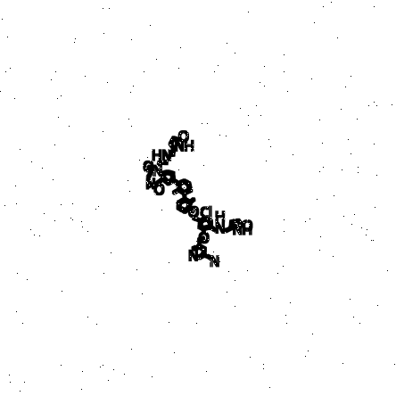 Cc1c(OCc2cc(OCc3cncc(C#N)c3)c(CNCC3CCC(=O)N3)cc2Cl)cccc1-c1cccc(-c2ccc3c(c2)C(=O)N(C)CC(=O)N3CCNCC2CCC(=O)N2)c1C